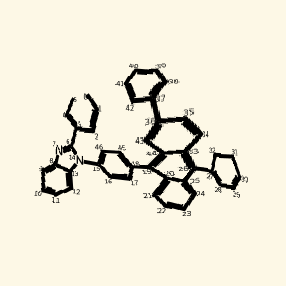 C/C=C\C(=C/C)c1nc2ccccc2n1-c1ccc(-c2c3ccccc3c(C3=CC=CCC3)c3ccc(-c4ccccc4)cc23)cc1